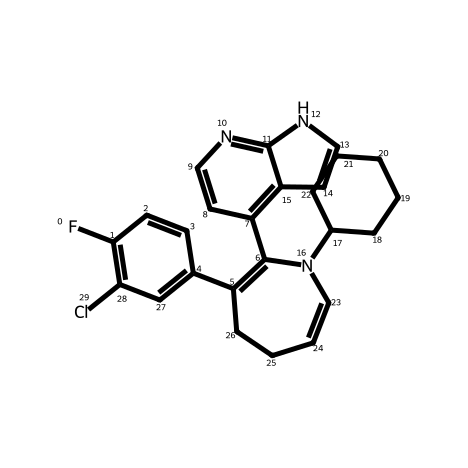 Fc1ccc(C2=C(c3ccnc4[nH]ccc34)N(C3CCCCC3)C=CCC2)cc1Cl